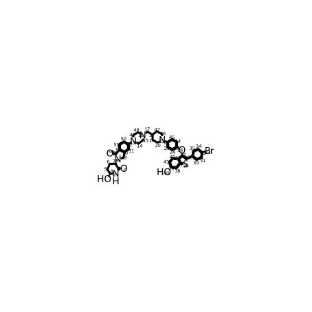 O=C1NC(O)CCC1N1Cc2cc(N3CCN(CC4CCN(c5ccc(Oc6c(-c7ccc(Br)cc7)sc7cc(O)ccc67)cc5)CC4)CC3)ccc2C1=O